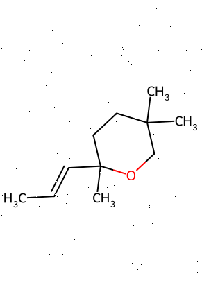 C/C=C/C1(C)CCC(C)(C)CO1